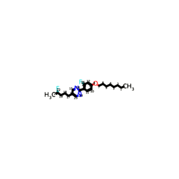 CCCCCCCCOc1ccc(-c2ncc(CCCC(C)F)cn2)c(F)c1